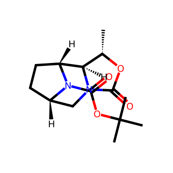 C[C@@H]1OC(=O)N2C[C@@H]3CC[C@H]([C@@H]12)N3C(=O)OC(C)(C)C